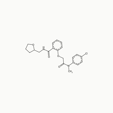 CN(C(=O)COc1ccccc1C(=O)NCC1CCCO1)c1ccc(Cl)cc1